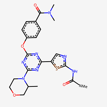 CNC(=O)Nc1ncc(-c2nc(Oc3ccc(C(=O)N(C)C)cc3)nc(N3CCOCC3C)n2)s1